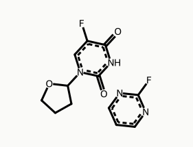 Fc1ncccn1.O=c1[nH]c(=O)n(C2CCCO2)cc1F